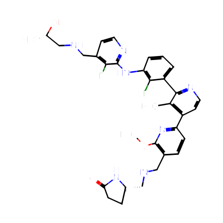 COc1nc(-c2ccnc(-c3cccc(Nc4nccc(CNC[C@H](C)O)c4F)c3Cl)c2C)ccc1CNC[C@@H]1CCC(=O)N1